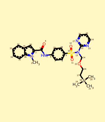 Cn1c(C(=O)Nc2ccc(S(=O)(=O)N(COCC[Si](C)(C)C)c3ncccn3)cc2)cc2ccccc21